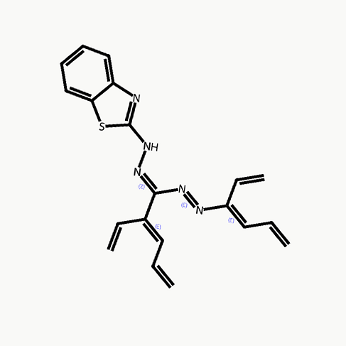 C=C/C=C(C=C)/N=N/C(=N\Nc1nc2ccccc2s1)C(/C=C)=C/C=C